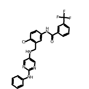 O=C(Nc1ccc(Cl)c(CNc2cnc(Nc3ccccc3)nc2)c1)c1cccc(C(F)(F)F)c1